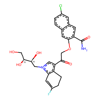 NC(=O)c1cc2cc(Cl)ccc2cc1OCC(=O)c1cn(C[C@H](O)[C@@H](O)CO)c2c1CCC(F)=C2